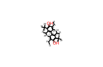 CCc1c(C)c(-c2c(C)c(CC)c(O)c(C(C)(C)C)c2C(C)C)c(C(C)C)c(C(C)(C)C)c1O